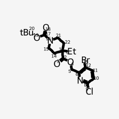 CCC1(C(=O)OCc2nc(Cl)ccc2Br)CCN(C(=O)OC(C)(C)C)CC1